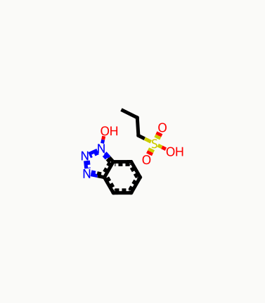 CCCS(=O)(=O)O.On1nnc2ccccc21